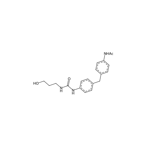 CC(=O)Nc1ccc(Cc2ccc(NC(=O)NCCCO)cc2)cc1